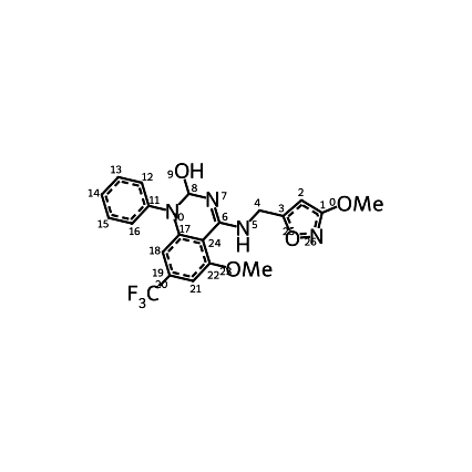 COc1cc(CNC2=NC(O)N(c3ccccc3)c3cc(C(F)(F)F)cc(OC)c32)on1